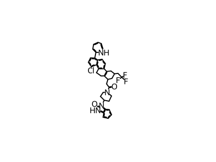 O=C(CC1CC(CC(F)(F)F)CC2=C1CCc1c2ccc2c(C3=CC=CC=CN3)ccc(Cl)c12)N1CCC(n2c(=O)[nH]c3ccccc32)CC1